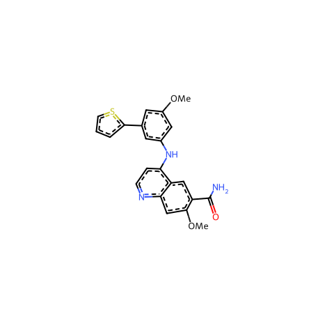 COc1cc(Nc2ccnc3cc(OC)c(C(N)=O)cc23)cc(-c2cccs2)c1